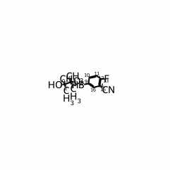 CC(C)(O)C(C)(C)OBc1ccc(F)c(C#N)c1